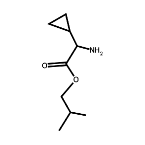 CC(C)COC(=O)C(N)C1CC1